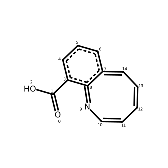 O=C(O)c1cccc2c1=NC=CC=CC=2